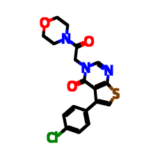 O=C(Cn1cnc2scc(-c3ccc(Cl)cc3)c2c1=O)N1CCOCC1